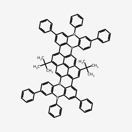 CC(C)(C)c1cc2c3c(cc4c(C(C)(C)C)cc5c6c(cc1c3c46)B1c3ccc(-c4ccccc4)cc3N(c3ccccc3)c3cc(-c4ccccc4)cc-5c31)B1c3ccc(-c4ccccc4)cc3N(c3ccccc3)c3cc(-c4ccccc4)cc-2c31